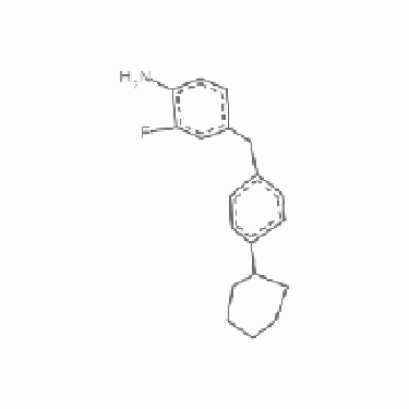 Nc1ccc(Cc2ccc(C3CCCCC3)cc2)cc1F